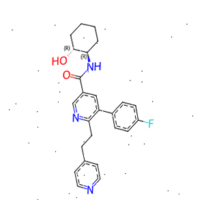 O=C(N[C@@H]1CCCC[C@H]1O)c1cnc(CCc2ccncc2)c(-c2ccc(F)cc2)c1